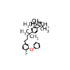 CC(C)(C)c1ccc(C(C)(C)CCCc2ccc(F)c(Oc3ccccc3)c2)cc1C(C)(C)C